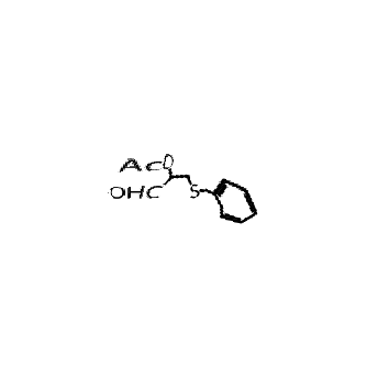 CC(=O)OC([C]=O)CSc1ccccc1